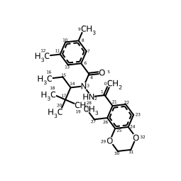 C=C(NN(C(=O)c1cc(C)cc(C)c1)C(CC)C(C)(C)C)c1ccc2c(c1CC)OCCO2